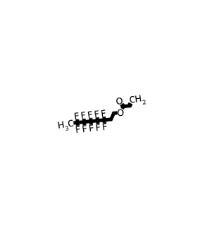 C=CC(=O)OCCC(F)(F)C(F)(F)C(F)(F)C(F)(F)C(C)(F)F